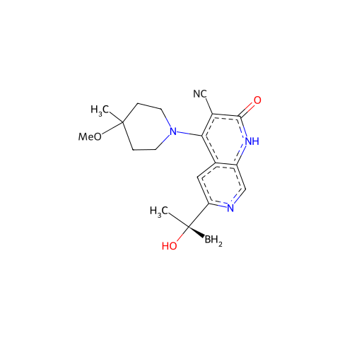 B[C@](C)(O)c1cc2c(N3CCC(C)(OC)CC3)c(C#N)c(=O)[nH]c2cn1